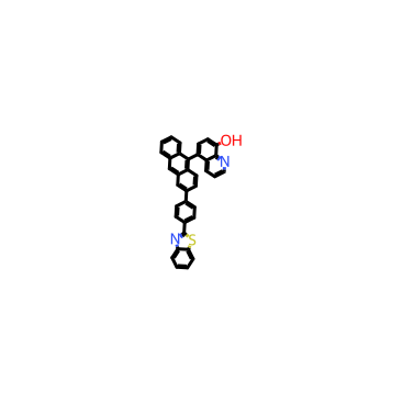 Oc1ccc(-c2c3ccccc3cc3cc(-c4ccc(-c5nc6ccccc6s5)cc4)ccc23)c2cccnc12